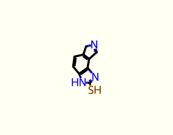 Sc1nc2c3c(ccc2[nH]1)CN=C3